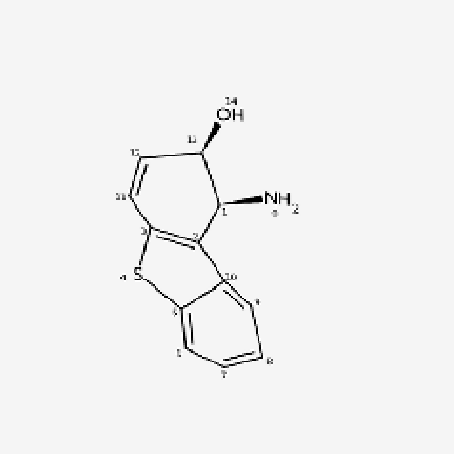 N[C@H]1c2c(sc3ccccc23)C=C[C@H]1O